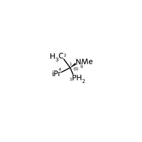 CN[C@@](C)(P)C(C)C